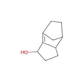 OC1CCC2C1=C1CCC2C1